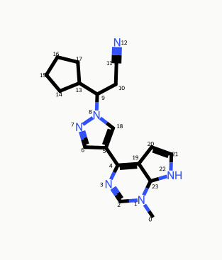 CN1C=NC(c2cnn(C(CC#N)C3CCCC3)c2)=C2C=CNC21